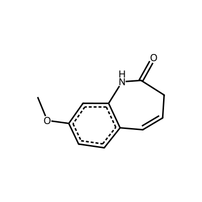 COc1ccc2c(c1)NC(=O)CC=C2